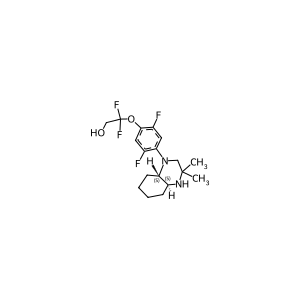 CC1(C)CN(c2cc(F)c(OC(F)(F)CO)cc2F)[C@H]2CCCC[C@@H]2N1